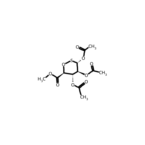 COC(=O)[C@H]1OS[C@H](OC(C)=O)[C@@H](OC(C)=O)[C@@H]1OC(C)=O